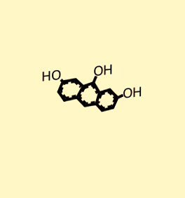 Oc1ccc2cc3ccc(O)cc3c(O)c2c1